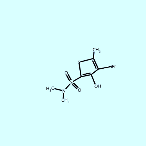 Cc1sc(S(=O)(=O)N(C)C)c(O)c1C(C)C